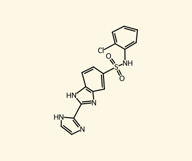 O=S(=O)(Nc1ccccc1Cl)c1ccc2[nH]c(-c3ncc[nH]3)nc2c1